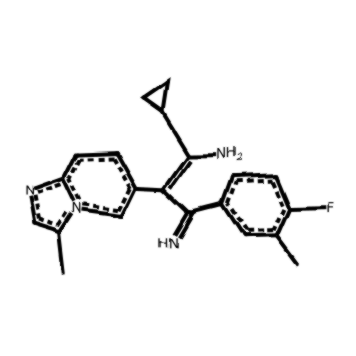 Cc1cc(C(=N)/C(=C(\N)C2CC2)c2ccc3ncc(C)n3c2)ccc1F